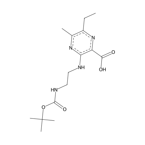 CCc1nc(C(=O)O)c(NCCNC(=O)OC(C)(C)C)nc1C